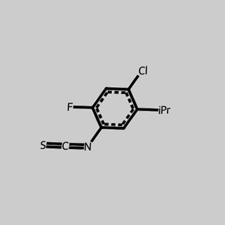 CC(C)c1cc(N=C=S)c(F)cc1Cl